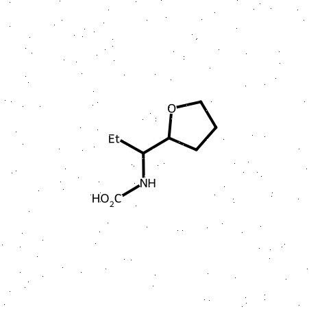 CCC(NC(=O)O)C1CCCO1